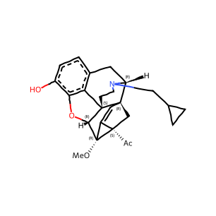 CO[C@]12C3=C[C@@]4(C[C@]31C(C)=O)[C@H]1Cc3ccc(O)c5c3[C@@]4(CCN1CC1CC1)[C@H]2O5